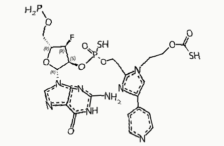 Nc1nc2c(ncn2[C@@H]2O[C@H](COP)[C@@H](F)[C@H]2OP(=O)(S)OCc2nc(-c3ccncc3)cn2CCOC(=O)S)c(=O)[nH]1